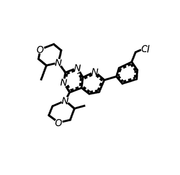 CC1COCCN1c1nc(N2CCOCC2C)c2ccc(-c3cccc(CCl)c3)nc2n1